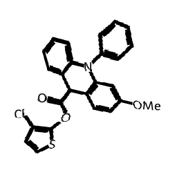 COc1ccc2c(c1)N(c1ccccc1)c1ccccc1C2C(=O)Oc1sccc1Cl